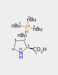 CCCC[PH](CCCC)(CCCC)CCCC.O=C(O)[C@@H]1CCCN1